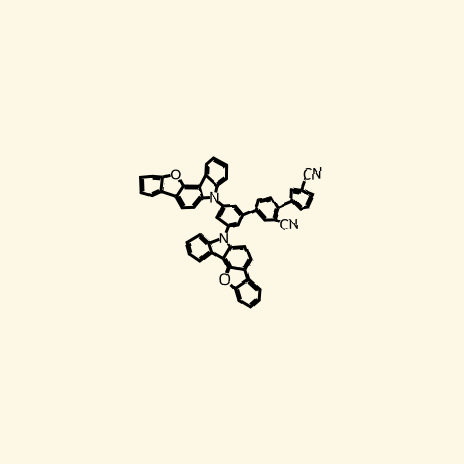 N#Cc1cccc(-c2ccc(-c3cc(-n4c5ccccc5c5c6oc7ccccc7c6ccc54)cc(-n4c5ccccc5c5c6oc7ccccc7c6ccc54)c3)cc2C#N)c1